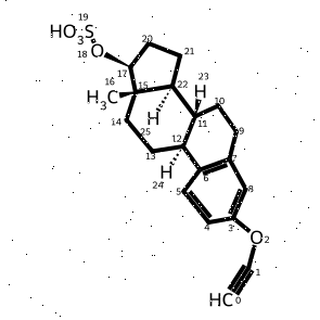 C#COc1ccc2c(c1)CC[C@@H]1[C@@H]2CC[C@]2(C)[C@@H](OS(=O)(=O)O)CC[C@@H]12